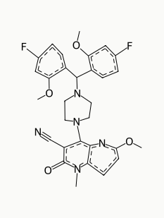 COc1ccc2c(n1)c(N1CCN(C(c3ccc(F)cc3OC)c3ccc(F)cc3OC)CC1)c(C#N)c(=O)n2C